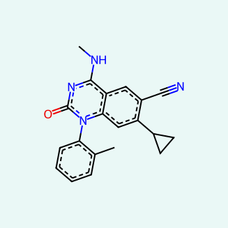 CNc1nc(=O)n(-c2ccccc2C)c2cc(C3CC3)c(C#N)cc12